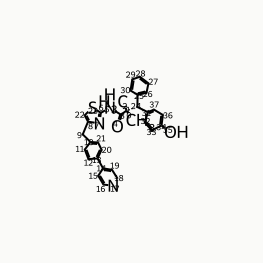 CC(C)(C(=O)Nc1nc(Cc2ccc(-c3ccncc3)cc2)cs1)[C@H](c1ccccc1)c1ccc(O)cc1